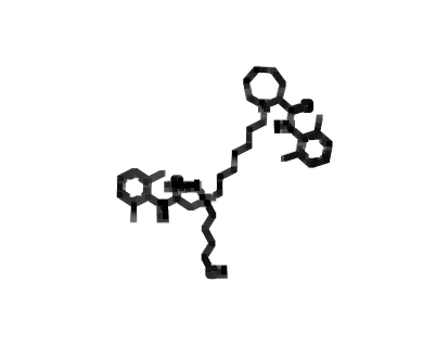 CCCCC[N+](CCCCO)(CCCCCCCN1CCCCCC1C(=O)Nc1c(C)cccc1C)CC(=O)Nc1c(C)cccc1C